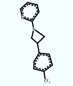 FC(F)(F)c1ccc(C2CN(c3ccccn3)C2)cc1